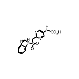 O=C(O)Nc1cnc(CS(=O)(=O)[SH]2C=Nc3ccccc32)nc1